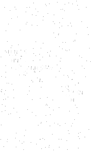 CO[C@H]1CN(CCCCCC(=O)O[C@@H]2CN3CCC2CC3)CC[C@H]1NC(=O)c1cc(Cl)c(N)[nH]c1=O